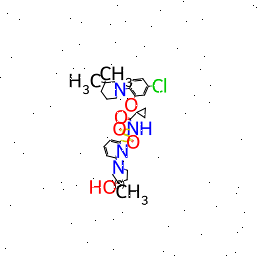 CC1(C)CCCN(c2ccc(Cl)cc2OC2(C(=O)NS(=O)(=O)c3cccc(N4CC[C@](C)(O)C4)n3)CC2)C1